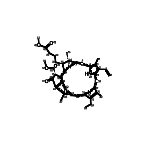 C=Cc1c(C)c2cc3nc(c4c5[nH]c(cc6nc(cc1[nH]2)C(C)=C6CC)c(C)c5C(=O)[C@@H]4C(=O)OC)[C@@H](CCCC(=O)OC)[C@@H]3C